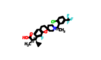 C[C@H](C(=O)O)[C@H](c1ccc2c(c1F)OC1(CC2)CCN([C@H](C)c2cc(C(F)(F)F)ccc2Cl)CC1)C1CC1